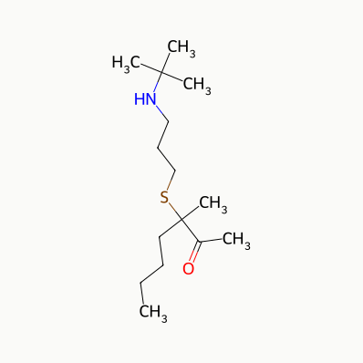 CCCCC(C)(SCCCNC(C)(C)C)C(C)=O